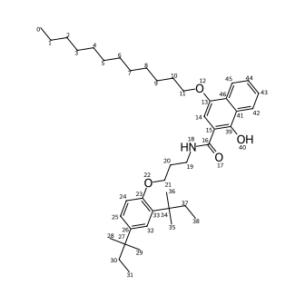 CCCCCCCCCCCCOc1cc(C(=O)NCCCOc2ccc(C(C)(C)CC)cc2C(C)(C)CC)c(O)c2ccccc12